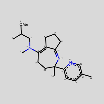 COC(C)CN(C)C1=C2CCCC2=NC(C)(c2ccc(C)cn2)CC1